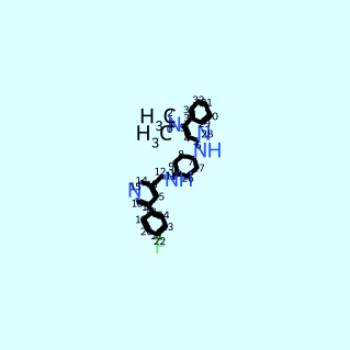 CN(C)c1cc(NC2CCC(NCc3cncc(-c4ccc(F)cc4)c3)CC2)nc2ccccc12